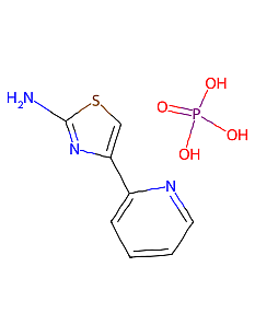 Nc1nc(-c2ccccn2)cs1.O=P(O)(O)O